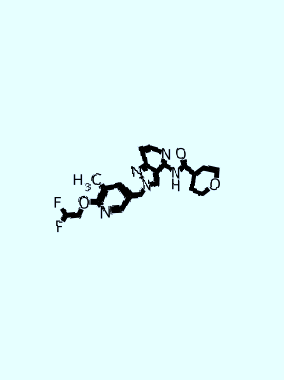 Cc1cc(Cn2cc3c(NC(=O)C4CCOCC4)nccc3n2)cnc1OCC(F)F